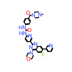 CN1CCN(C(=O)c2ccc(NC(=O)Nc3ccc(-c4nc(N5CCOCC5)c5cc(F)c(-c6cccnc6)cc5n4)cn3)cc2)CC1